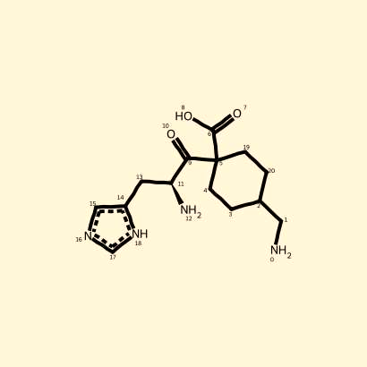 NCC1CCC(C(=O)O)(C(=O)[C@@H](N)Cc2cnc[nH]2)CC1